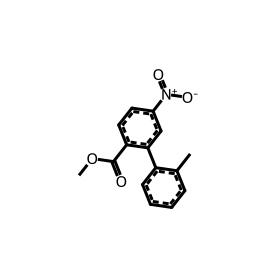 COC(=O)c1ccc([N+](=O)[O-])cc1-c1ccccc1C